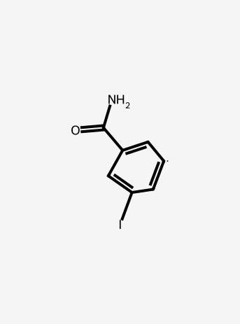 NC(=O)c1c[c]cc(I)c1